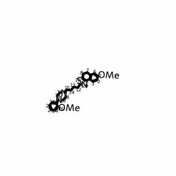 COc1ccc2c(c1)CCc1sc(CCCCN3CCN(c4ccccc4OC)CC3)nc1-2